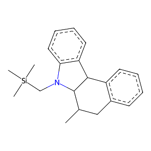 CC1Cc2ccccc2C2c3ccccc3N(C[Si](C)(C)C)C12